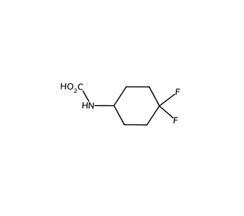 O=C(O)NC1CCC(F)(F)CC1